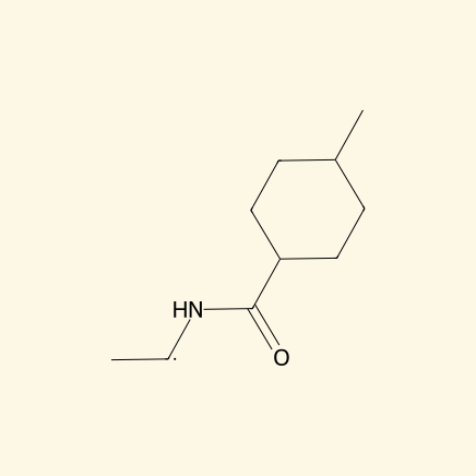 C[CH]NC(=O)C1CCC(C)CC1